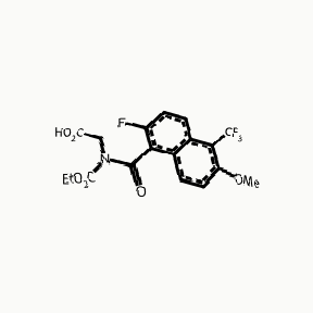 CCOC(=O)N(CC(=O)O)C(=O)c1c(F)ccc2c(C(F)(F)F)c(OC)ccc12